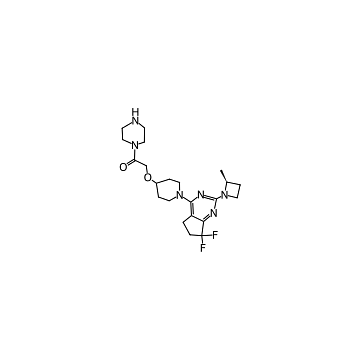 C[C@H]1CCN1c1nc(N2CCC(OCC(=O)N3CCNCC3)CC2)c2c(n1)C(F)(F)CC2